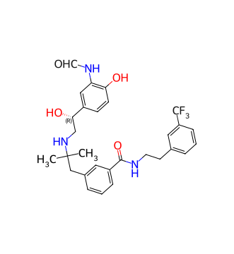 CC(C)(Cc1cccc(C(=O)NCCc2cccc(C(F)(F)F)c2)c1)NC[C@H](O)c1ccc(O)c(NC=O)c1